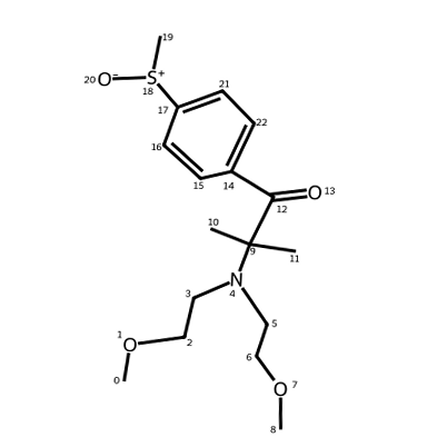 COCCN(CCOC)C(C)(C)C(=O)c1ccc([S+](C)[O-])cc1